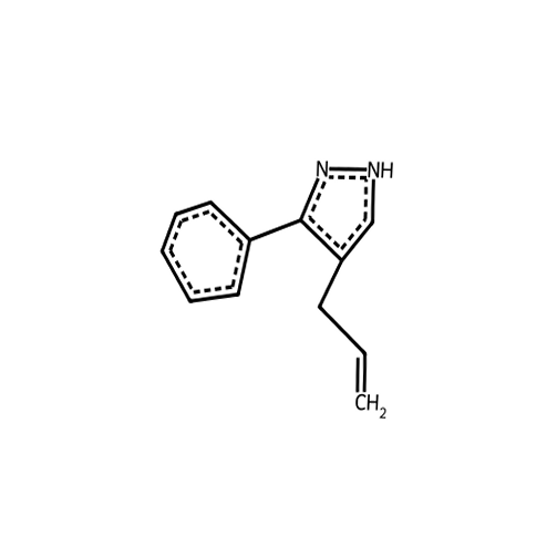 C=CCc1c[nH]nc1-c1ccccc1